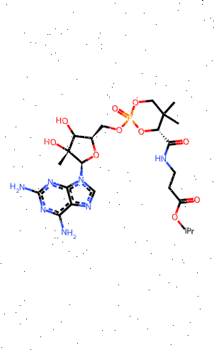 CC(C)OC(=O)CCNC(=O)[C@@H]1OP(=O)(OC[C@H]2O[C@@H](n3cnc4c(N)nc(N)nc43)[C@](C)(O)C2O)OCC1(C)C